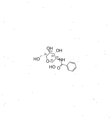 O=C(N[C@@H]1[C@@H](O)[C@H](O)[C@@H](CO)O[C@H]1O)c1ccccc1